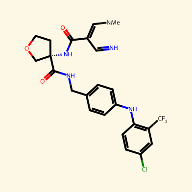 CN/C=C(\C=N)C(=O)N[C@@]1(C(=O)NCc2ccc(Nc3ccc(Cl)cc3C(F)(F)F)cc2)CCOC1